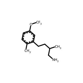 Cc1ccc(OC(F)(F)F)cc1CCC(C)CN